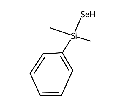 C[Si](C)([SeH])c1ccccc1